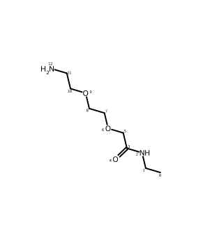 CCNC(=O)COCCOCCN